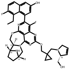 CCc1c(F)ccc2cc(O)cc(-c3nc4c5c(nc(OCC6(CN7CC=C[C@@H]7CO)CC6)nc5c3F)N3C[C@@H]5CC[C@@H](N5)[C@H]3CO4)c12